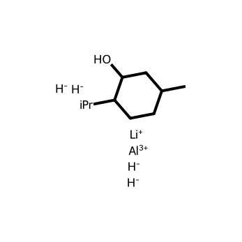 CC1CCC(C(C)C)C(O)C1.[Al+3].[H-].[H-].[H-].[H-].[Li+]